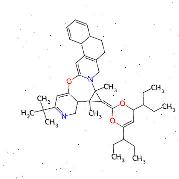 CCC(CC)C1=CC(C(CC)CC)O/C(=C2/C3(C)C4CN=C(C(C)(C)C)C=C4OC4=CC5=C(CCC6C=CC=CC56)CN4C23C)O1